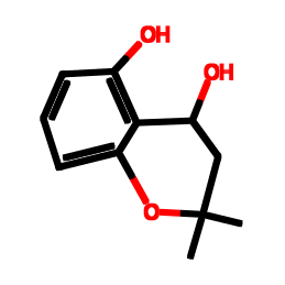 CC1(C)CC(O)c2c(O)cccc2O1